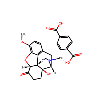 COc1ccc2c3c1O[C@H]1C(=O)CC[C@@]4(O)[C@@H](C2)N(C)CC[C@]314.O=C(O)c1ccc(C(=O)O)cc1